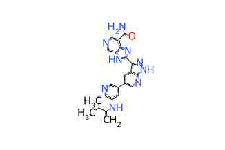 C=C(Nc1cncc(-c2cnc3[nH]nc(-c4nc5c(C(N)=O)cncc5[nH]4)c3c2)c1)C(C)C